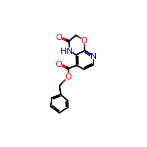 O=C1COc2nccc(C(=O)OCc3ccccc3)c2N1